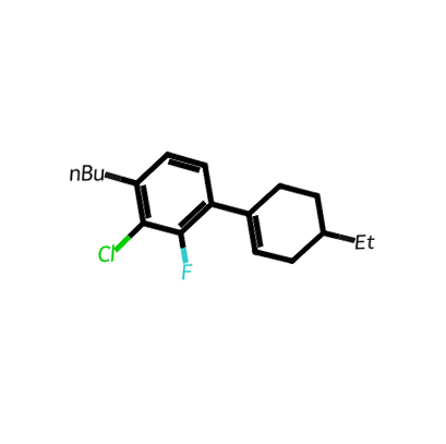 CCCCc1ccc(C2=CCC(CC)CC2)c(F)c1Cl